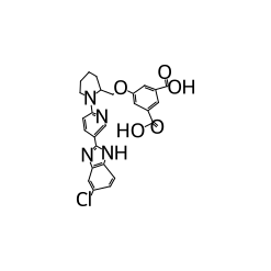 O=C(O)c1cc(OCC2CCCCN2c2ccc(-c3nc4cc(Cl)ccc4[nH]3)cn2)cc(C(=O)O)c1